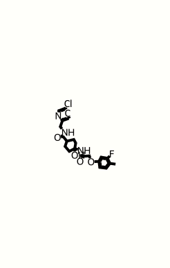 Cc1ccc(OCC(=O)NC2(O)CCC(C(=O)NCc3ccc(Cl)cn3)CC2)cc1F